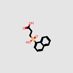 O=C(O)CCP(=O)(O)c1cccc2ccccc12